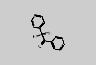 CCC(CC)(C(=O)c1ccccc1)c1ccccc1